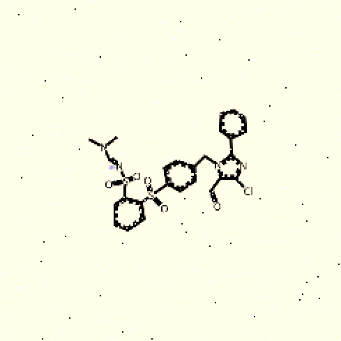 CN(C)/C=N/S(=O)(=O)c1ccccc1S(=O)(=O)c1ccc(Cn2c(-c3ccccc3)nc(Cl)c2C=O)cc1